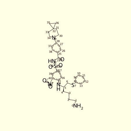 NCCCC[C@H](CSc1ccccc1)Nc1ccc(S(=O)(=O)NC(=O)c2ccc(N3CCC4(CC3)CC4)cc2)cc1[N+](=O)[O-]